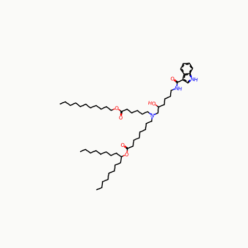 CCCCCCCCCCCOC(=O)CCCCCN(CCCCCCCC(=O)OC(CCCCCCCC)CCCCCCCC)CC(O)CCCCNC(=O)c1c[nH]c2ccccc12